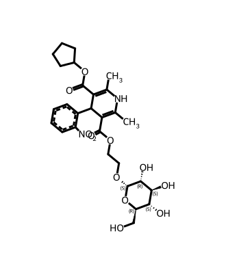 CC1=C(C(=O)OCCO[C@H]2O[C@H](CO)[C@@H](O)[C@H](O)[C@H]2O)C(c2ccccc2[N+](=O)[O-])C(C(=O)OC2CCCC2)=C(C)N1